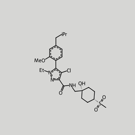 CCn1nc(C(=O)NC[C@]2(O)CC[C@@H](S(C)(=O)=O)CC2)c(Cl)c1-c1ccc(CC(C)C)cc1OC